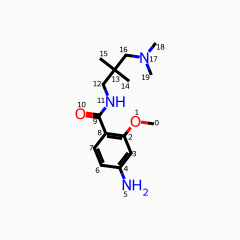 COc1cc(N)ccc1C(=O)NCC(C)(C)CN(C)C